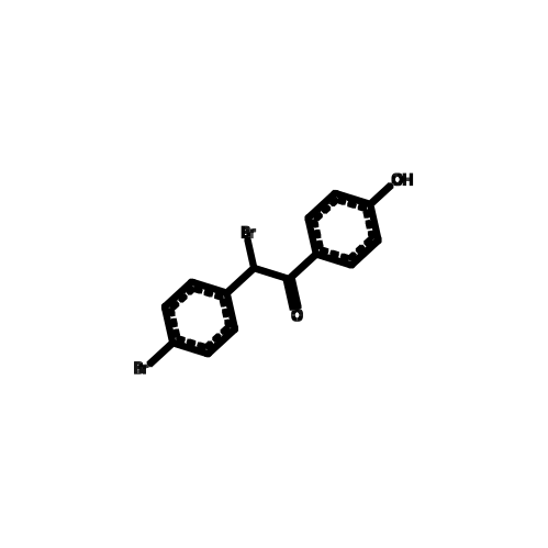 O=C(c1ccc(O)cc1)C(Br)c1ccc(Br)cc1